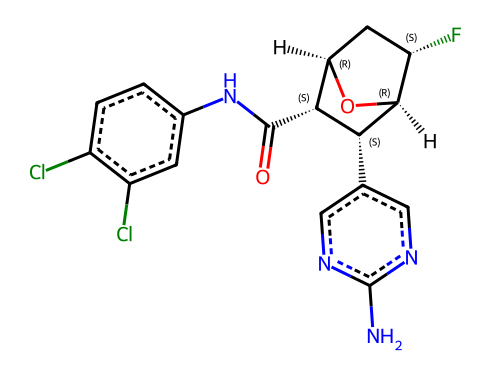 Nc1ncc([C@H]2[C@H]3O[C@H](C[C@@H]3F)[C@H]2C(=O)Nc2ccc(Cl)c(Cl)c2)cn1